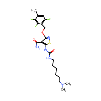 Cc1cc(F)c(COc2nsc(NC(=O)NCCCCCCN(C)C)c2C(N)=O)c(F)c1F